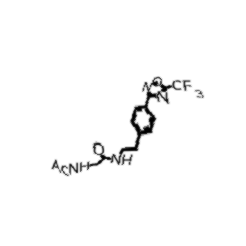 CC(=O)NCC(=O)NCCc1ccc(-c2noc(C(F)(F)F)n2)cc1